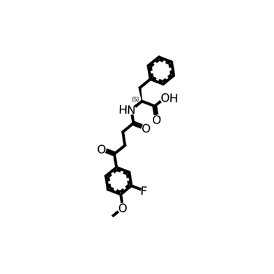 COc1ccc(C(=O)CCC(=O)N[C@@H](Cc2ccccc2)C(=O)O)cc1F